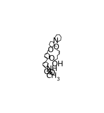 CS(=O)(=O)Nc1cccc(-c2ccc(CO[C@@H]3CC[C@H](N4CCCCCC4)[C@H]3OC/C=C\CCC(=O)O)cc2)c1